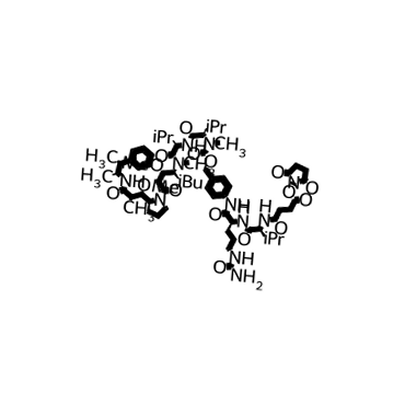 CC[C@H](C)[C@@H]([C@@H](CC(=O)N1CCC[C@H]1[C@H](OC)[C@@H](C)C(=O)N[C@H](C)[C@@H](C)c1ccccc1)OC)N(C)C(=O)[C@@H](NC(=O)[C@H](C(C)C)N(C)C(=O)OCc1ccc(NC(=O)[C@H](CCCNC(N)=O)NC(=O)[C@@H](NC(=O)CCC(=O)ON2C(=O)CCC2=O)C(C)C)cc1)C(C)C